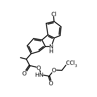 CC(C(=O)ONC(=O)OCC(Cl)(Cl)Cl)c1ccc2c(c1)[nH]c1ccc(Cl)cc12